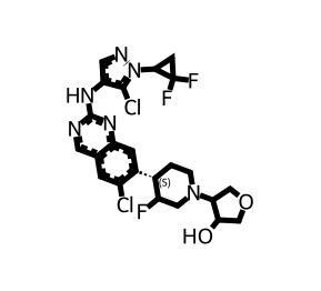 OC1COCC1N1CC[C@@H](c2cc3nc(Nc4cnn(C5CC5(F)F)c4Cl)ncc3cc2Cl)C(F)C1